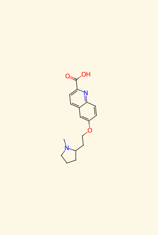 CN1CCCC1CCOc1ccc2nc(C(=O)O)ccc2c1